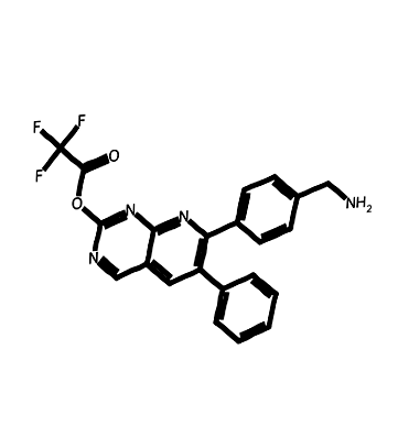 NCc1ccc(-c2nc3nc(OC(=O)C(F)(F)F)ncc3cc2-c2ccccc2)cc1